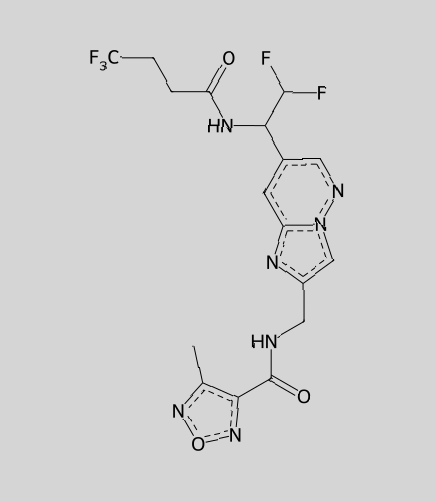 Cc1nonc1C(=O)NCc1cn2ncc(C(NC(=O)CCC(F)(F)F)C(F)F)cc2n1